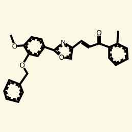 COc1ccc(-c2nc(C=CC(=O)c3ccccc3C)co2)cc1OCc1ccccc1